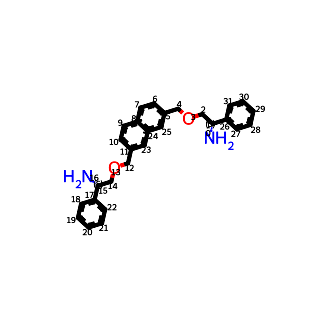 N[C@H](COCc1ccc2ccc(COC[C@@H](N)c3ccccc3)cc2c1)c1ccccc1